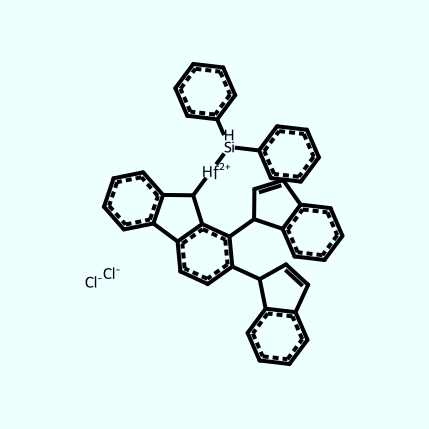 C1=CC(c2ccc3c(c2C2C=Cc4ccccc42)[CH]([Hf+2][SiH](c2ccccc2)c2ccccc2)c2ccccc2-3)c2ccccc21.[Cl-].[Cl-]